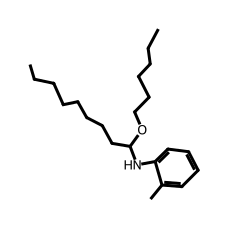 CCCCCCCCC(Nc1ccccc1C)OCCCCCC